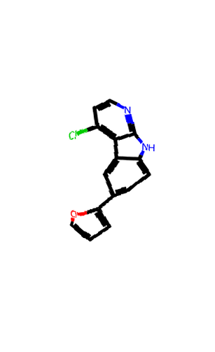 Clc1ccnc2[nH]c3ccc(-c4ccco4)cc3c12